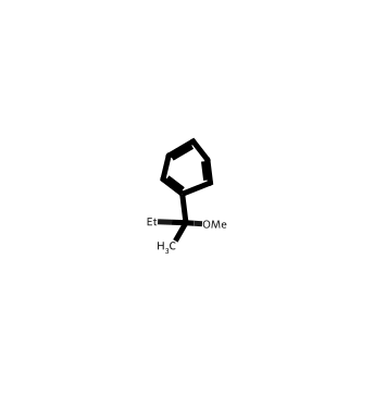 [CH2]CC(C)(OC)c1ccccc1